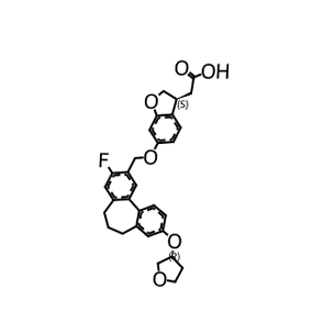 O=C(O)C[C@@H]1COc2cc(OCc3cc4c(cc3F)CCCc3cc(O[C@@H]5CCOC5)ccc3-4)ccc21